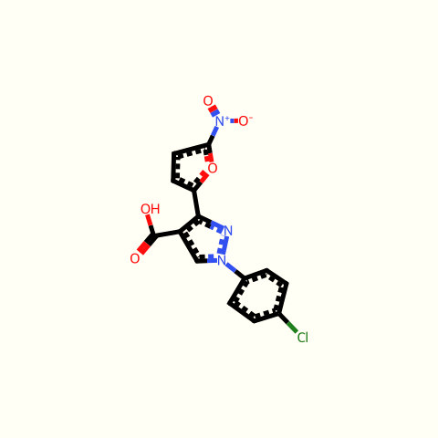 O=C(O)c1cn(-c2ccc(Cl)cc2)nc1-c1ccc([N+](=O)[O-])o1